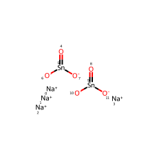 [Na+].[Na+].[Na+].[Na+].[O]=[Sn]([O-])[O-].[O]=[Sn]([O-])[O-]